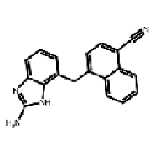 N#Cc1ccc(Cc2cccc3nc(N)[nH]c23)c2ccccc12